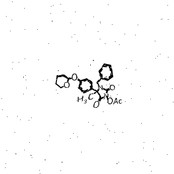 CC(=O)ON1C(=O)N(Cc2ccccc2)[C@@](C)(c2ccc(OC3CCCCO3)cc2)C1=O